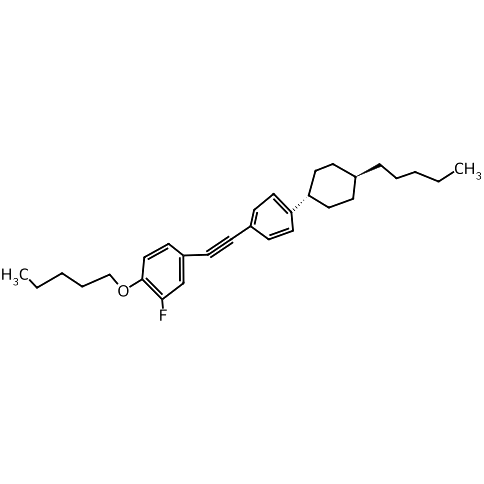 CCCCCOc1ccc(C#Cc2ccc([C@H]3CC[C@H](CCCCC)CC3)cc2)cc1F